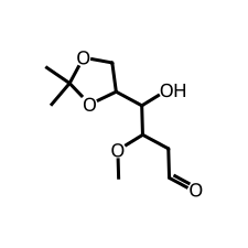 COC(CC=O)C(O)C1COC(C)(C)O1